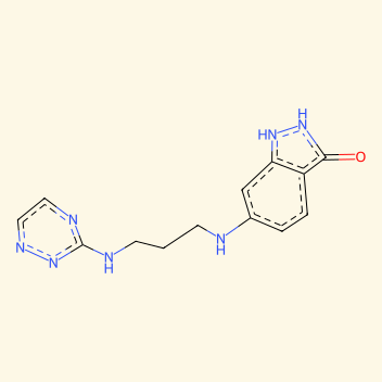 O=c1[nH][nH]c2cc(NCCCNc3nccnn3)ccc12